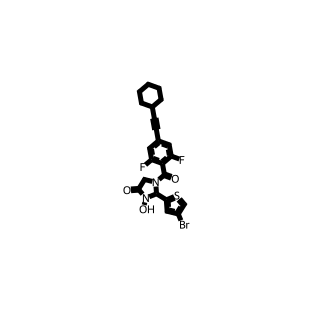 O=C1CN(C(=O)c2c(F)cc(C#CC3CCCCC3)cc2F)C(c2cc(Br)cs2)N1O